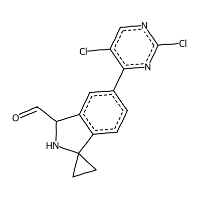 O=CC1NC2(CC2)c2ccc(-c3nc(Cl)ncc3Cl)cc21